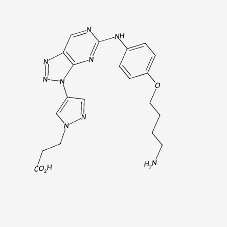 NCCCCOc1ccc(Nc2ncc3nnn(-c4cnn(CCC(=O)O)c4)c3n2)cc1